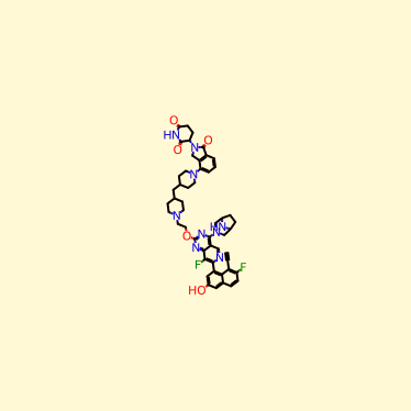 C#Cc1c(F)ccc2cc(O)cc(-c3ncc4c(N5CC6CCC(C5)N6)nc(OCCN5CCC(CC6CCN(c7cccc8c7CN(C7CCC(=O)NC7=O)C8=O)CC6)CC5)nc4c3F)c12